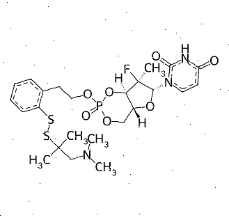 CN(C)CC(C)(C)SSc1ccccc1CCOP1(=O)OC[C@H]2O[C@@H](n3ccc(=O)[nH]c3=O)[C@](C)(F)[C@@H]2O1